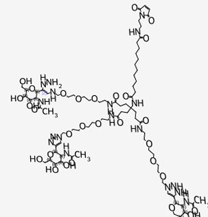 CC(=O)N[C@@H]1[C@@H](O)[C@@H](O)CO[C@H]1C1=CN(COCCOCCOCCNC(=O)CCC(CCC(=O)NCCOCCOCCOCN/C=C(\NN)[C@@H]2O[C@H](CO)[C@H](O)[C@H](O)[C@H]2NC(C)=O)(CCC(=O)NCCOCCOCCOCn2cc([C@@H]3O[C@H](CO)[C@H](O)[C@H](O)[C@H]3NC(C)=O)nn2)NC(=O)CCCCCCCCCCC(=O)NCCN2C(=O)C=CC2=O)NN1